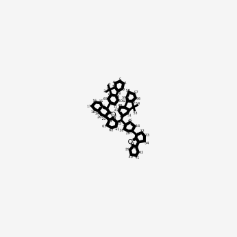 CC1(C)c2ccccc2-c2ccc(-c3c4ccccc4cc4c3oc3c(C(c5ccc(-c6cccc7c6oc6ccccc67)cc5)c5ccc6c(c5)C(C)(C)c5ccccc5-6)cccc34)cc21